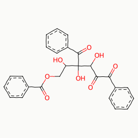 O=C(OCC(O)C(O)(C(=O)c1ccccc1)C(O)C(=O)C(=O)c1ccccc1)c1ccccc1